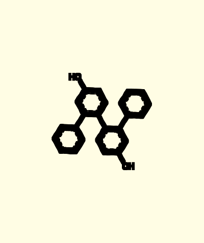 Oc1ccc(-c2ccc(O)cc2-c2ccccc2)c(-c2ccccc2)c1